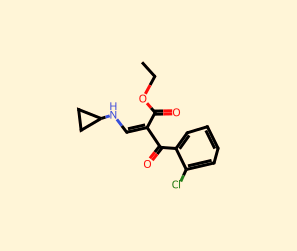 CCOC(=O)C(=CNC1CC1)C(=O)c1ccccc1Cl